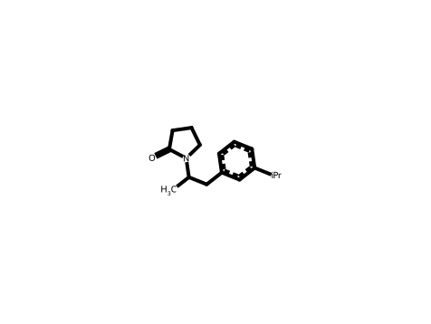 CC(C)c1cccc(CC(C)N2CCCC2=O)c1